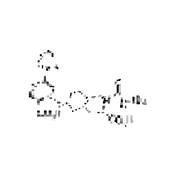 CC(C)(C)OC(=O)N1CC2CCC(Oc3cc(-c4ccccc4)ccc3C(=O)O)CC2CC1C(=O)O